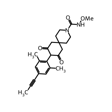 CC#Cc1cc(C)c(C2C(=O)CC3(CCN(C(=O)NOC)CC3)CC2=O)c(C)c1